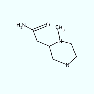 CN1CC[N]CC1CC(N)=O